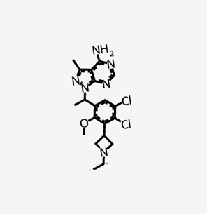 [CH2][CH]N1CC(c2c(Cl)c(Cl)cc(C(C)n3nc(C)c4c(N)ncnc43)c2OC)C1